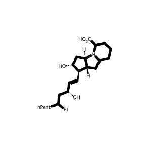 CCCCCC(CC)C[C@@H](O)/C=C/[C@@H]1[C@H]2CC3CCCC(C(=O)O)N3[C@@H]2C[C@H]1O